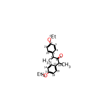 CCOc1ccc(C(C)C(=O)C(C)c2ccc(OCC)cc2)cc1